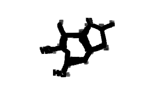 Cc1c(O)c(O)cc2c1NC(C)C2